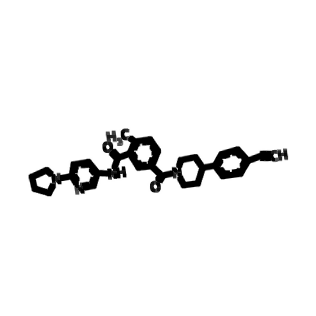 C#Cc1ccc(C2CCN(C(=O)c3ccc(C)c(C(=O)Nc4ccc(N5CCCC5)nc4)c3)CC2)cc1